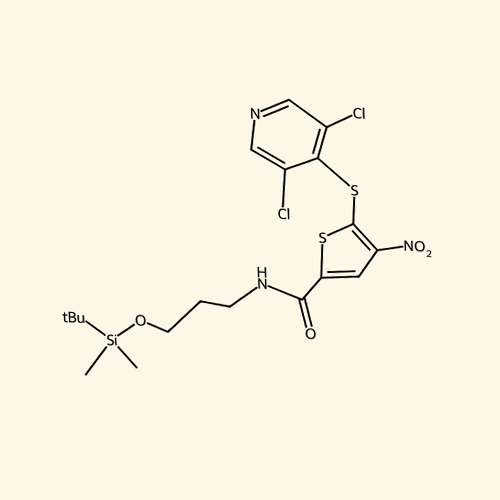 CC(C)(C)[Si](C)(C)OCCCNC(=O)c1cc([N+](=O)[O-])c(Sc2c(Cl)cncc2Cl)s1